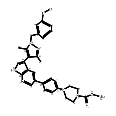 CCOc1cccc(Cn2nc(C)c(-c3c[nH]c4ncc(-c5ccc(N6CCN(C(=O)OC(C)(C)C)CC6)cc5)cc34)c2C)c1